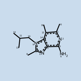 Cc1nc(N)c2nc(C)n(CC(C)C)c2c1C